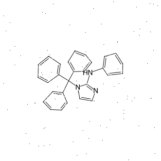 [c]1cn(C(c2ccccc2)(c2ccccc2)c2ccccc2)c(Nc2ccccc2)n1